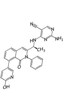 C[C@H](Nc1nc(N)ncc1C#N)c1cc2cccc(-c3ccc(O)nc3)c2c(=O)n1-c1ccccc1